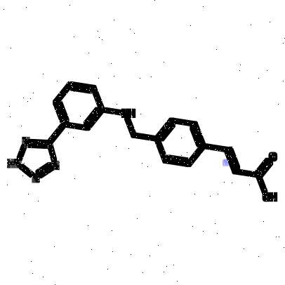 O=C(O)/C=C/c1ccc(CNc2cccc(-c3nn[nH]n3)c2)cc1